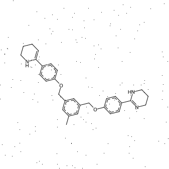 Cc1cc(COc2ccc(C3=CCCCN3)cc2)cc(COc2ccc(C3=NCCCN3)cc2)c1